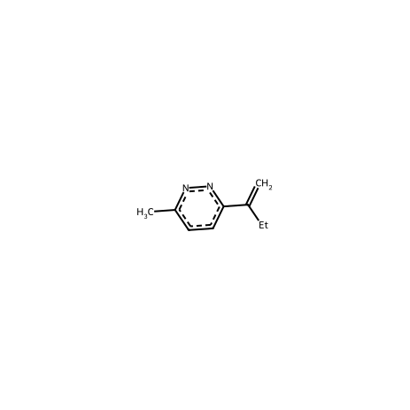 C=C(CC)c1ccc(C)nn1